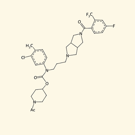 CC(=O)N1CCC(OC(=O)N(CCCN2CC3CN(C(=O)c4ccc(F)cc4C(F)(F)F)CC3C2)c2ccc(C)c(Cl)c2)CC1